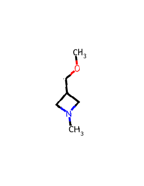 CO[CH]C1CN(C)C1